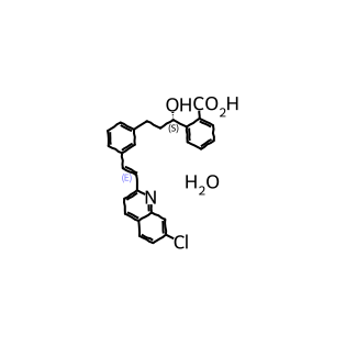 O.O=C(O)c1ccccc1[C@@H](O)CCc1cccc(/C=C/c2ccc3ccc(Cl)cc3n2)c1